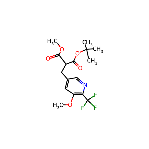 COC(=O)C(Cc1cnc(C(F)(F)F)c(OC)c1)C(=O)OC(C)(C)C